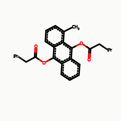 Cc1cccc2c(OC(=O)CC(C)C)c3ccccc3c(OC(=O)CC(C)C)c12